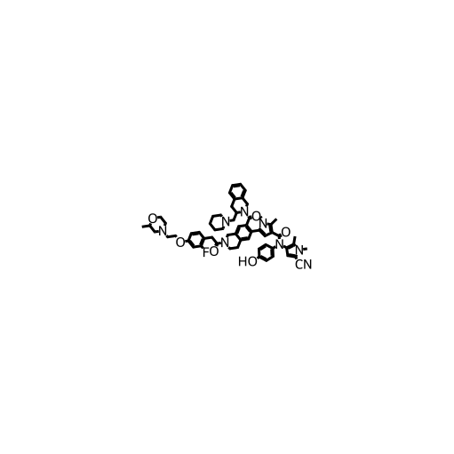 Cc1c(N(C(=O)c2cc(-c3cc4c(cc3C(=O)N3Cc5ccccc5CC3CN3CCCCC3)CN(C(=O)Cc3ccc(OCCN5CCOC(C)C5)cc3F)CC4)n(C)c2C)c2ccc(O)cc2)cc(C#N)n1C